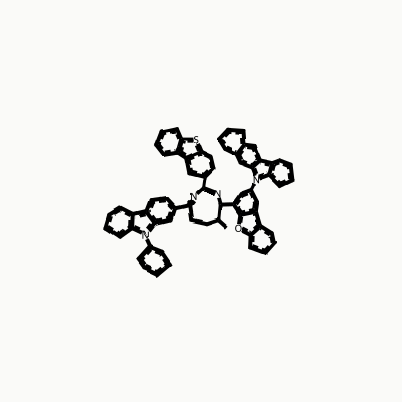 CC1CC/C(c2ccc3c4ccccc4n(-c4ccccc4)c3c2)=N\C(c2ccc3sc4ccccc4c3c2)=N/C1c1cc(-n2c3ccccc3c3cc4ccccc4cc32)cc2c1oc1ccccc12